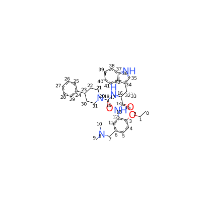 CCOc1ccc(CN(C)C)cc1NC(=O)[C@@H](NC(=O)N1CCC(c2ccccc2)CC1)[C@@H](C)c1c[nH]c2ccccc12